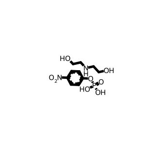 O=[N+]([O-])c1ccc(OP(=O)(O)O)cc1.OCCNCCO